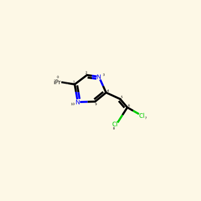 CC(C)c1cnc(C=C(Cl)Cl)cn1